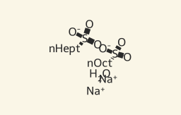 CCCCCCCCS(=O)(=O)[O-].CCCCCCCS(=O)(=O)[O-].O.[Na+].[Na+]